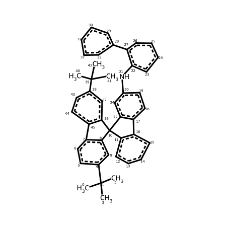 CC(C)(C)c1ccc2c(c1)C1(c3ccccc3-c3ccc(Nc4ccccc4-c4ccccc4)cc31)c1cc(C(C)(C)C)ccc1-2